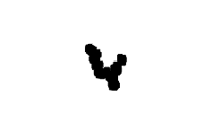 CC1(C)c2ccccc2-c2ccc(-c3ccc(-c4cccc(-c5cc(-c6ccccc6)nc(-c6ccc(-c7ccccc7)cc6)n5)c4)cc3)cc21